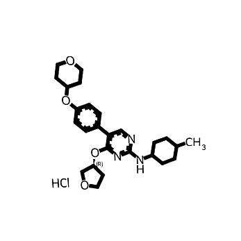 CC1CCC(Nc2ncc(-c3ccc(OC4CCOCC4)cc3)c(O[C@@H]3CCOC3)n2)CC1.Cl